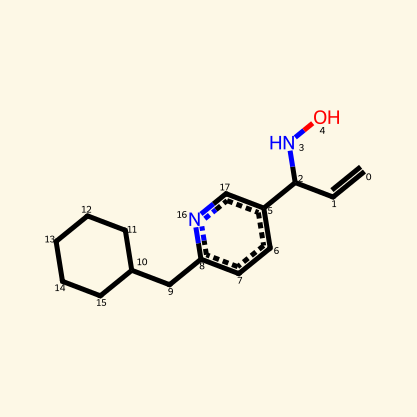 C=CC(NO)c1ccc(CC2CCCCC2)nc1